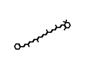 CC1=C(/C=C/C(C)=C/C=C/C(C)=C/C=C/C=C(C)/C=C/C=C(C)/C=C/C2=CCCCC2)C(C)(C)CCC1